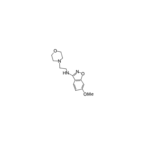 COc1ccc2c(NCCN3CCOCC3)noc2c1